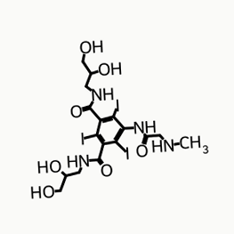 CNCC(=O)Nc1c(I)c(C(=O)NCC(O)CO)c(I)c(C(=O)NCC(O)CO)c1I